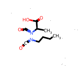 CC(N=C=O)C(=O)O.CCCCN=C=O